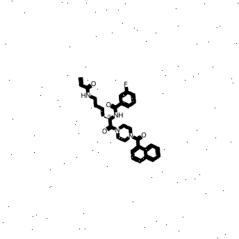 C=CC(=O)NCCCC[C@H](NC(=O)c1cccc(F)c1)C(=O)N1CCN(C(=O)c2cccc3ccccc23)CC1